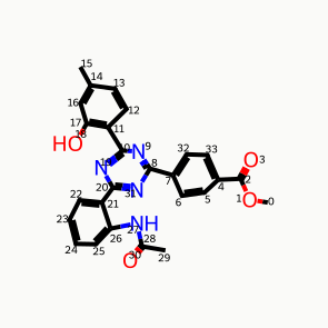 COC(=O)c1ccc(-c2nc(-c3ccc(C)cc3O)nc(-c3ccccc3NC(C)=O)n2)cc1